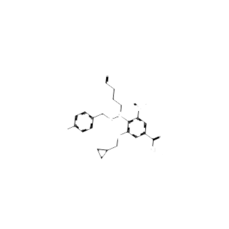 NC(=O)c1cc(OCC2CC2)c(N(CCCC=O)NCc2ccc(F)cc2)c([N+](=O)[O-])c1